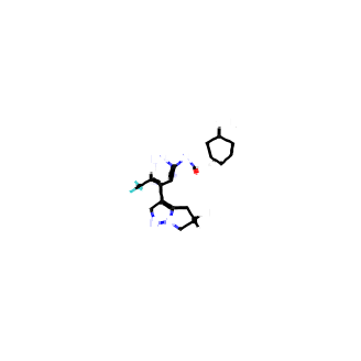 C/C(=C(\C=C(/N)NC(=O)[C@H]1CCCC(C)C1)C1=C2CC(C)(C)CN2NC1)C(F)(F)F